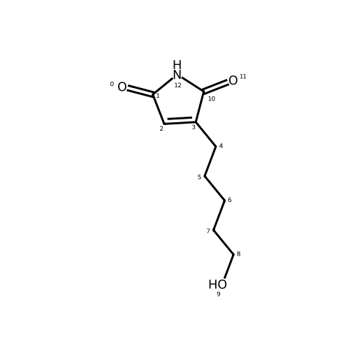 O=C1C=C(CCCCCO)C(=O)N1